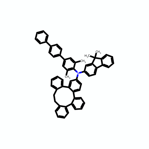 Cc1cc(-c2ccc(-c3ccccc3)cc2)cc(C)c1N(c1ccc2c(c1)-c1ccccc1CCc1ccccc1-c1ccccc1-2)c1ccc2c(c1)C(C)(C)c1ccccc1-2